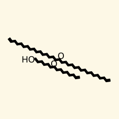 C=CCCCCCCCCCCCCCCC(=O)C(=O)CCCCCCCCCCCCCC=C.C=CCCCCCCCCCCCCCO